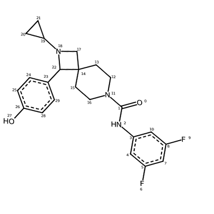 O=C(Nc1cc(F)cc(F)c1)N1CCC2(CC1)CN(C1CC1)C2c1ccc(O)cc1